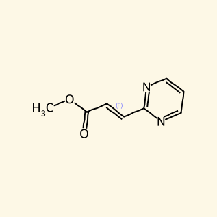 COC(=O)/C=C/c1ncccn1